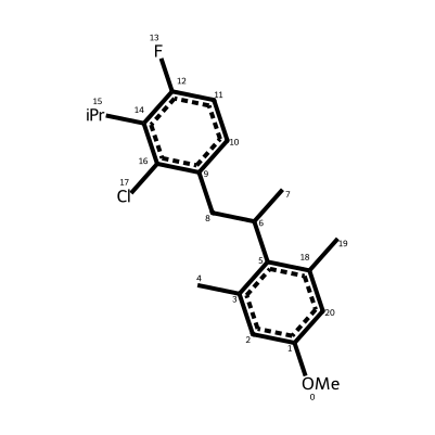 COc1cc(C)c(C(C)Cc2ccc(F)c(C(C)C)c2Cl)c(C)c1